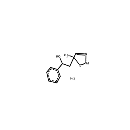 Cl.NC1(CC(O)c2ccccc2)C=NNO1